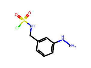 NNc1cccc(CNS(=O)(=O)Cl)c1